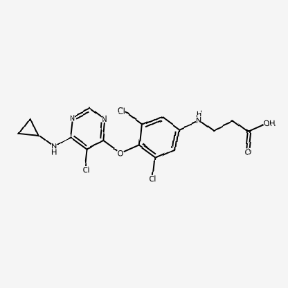 O=C(O)CCNc1cc(Cl)c(Oc2ncnc(NC3CC3)c2Cl)c(Cl)c1